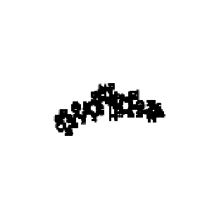 O=C(Cc1ccc2c(c1)sc1ncnc(Nc3ccc(OCc4cscn4)c(Cl)c3)c12)N1CCOCC1